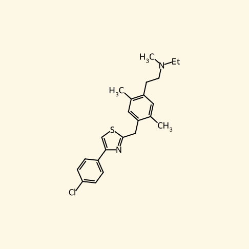 CCN(C)CCc1cc(C)c(Cc2nc(-c3ccc(Cl)cc3)cs2)cc1C